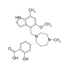 COc1cc(C)c2[nH]ccc2c1CN1CCN(C)CC[C@@H]1c1ccc(C(=O)O)c(O)c1